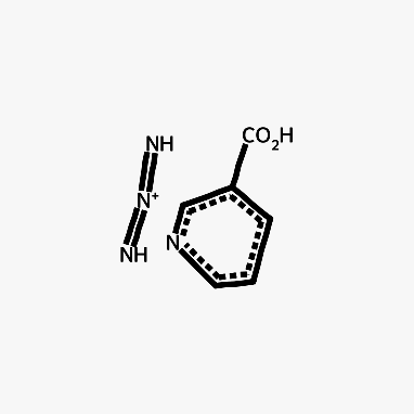 N=[N+]=N.O=C(O)c1cccnc1